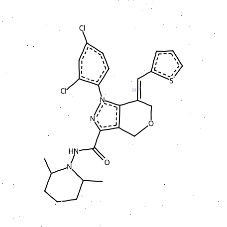 CC1CCCC(C)N1NC(=O)c1nn(-c2ccc(Cl)cc2Cl)c2c1COC/C2=C\c1cccs1